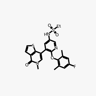 CCS(=O)(=O)Nc1cnc(Oc2c(C)cc(F)cc2C)c(-c2cn(C)c(=O)c3ccsc23)c1